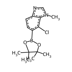 Cn1cnc2ccc(B3OC(C)(C)C(C)(C)O3)c(Cl)c21